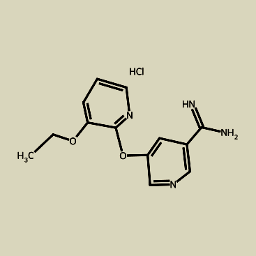 CCOc1cccnc1Oc1cncc(C(=N)N)c1.Cl